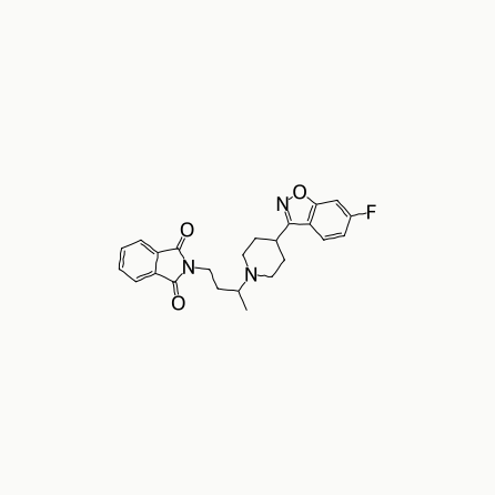 CC(CCN1C(=O)c2ccccc2C1=O)N1CCC(c2noc3cc(F)ccc23)CC1